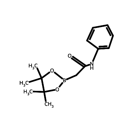 CC1(C)OB(CC(=O)Nc2ccccc2)OC1(C)C